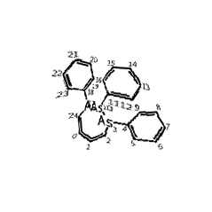 C1=C=C[As](c2ccccc2)[As](c2ccccc2)[As](c2ccccc2)C=1